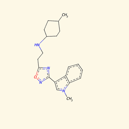 CC1CCC(NCCc2nc(-c3cn(C)c4ccccc34)no2)CC1